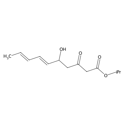 CC=CC=CC(O)CC(=O)CC(=O)OC(C)C